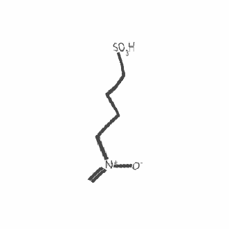 C=[N+]([O-])CCCCS(=O)(=O)O